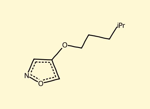 CC(C)CCCOc1cnoc1